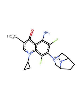 CN1C2CCC1CN(c1c(F)c(N)c3c(=O)c(C(=O)O)cn(C4CC4)c3c1F)C2